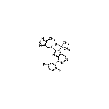 CCC(C)(C)c1c(OCc2ncnn2C)nn2c(-c3cc(F)ccc3F)nncc12